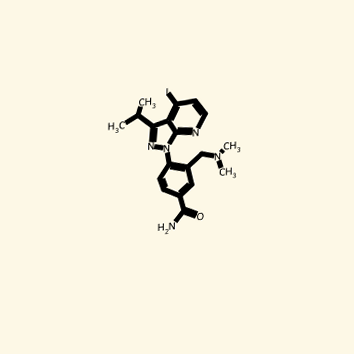 CC(C)c1nn(-c2ccc(C(N)=O)cc2CN(C)C)c2nccc(I)c12